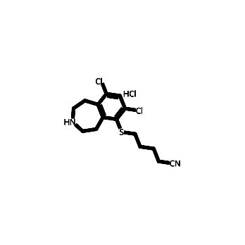 Cl.N#CCCCCSc1c(Cl)cc(Cl)c2c1CCNCC2